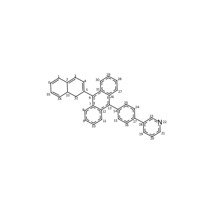 C1=CC2=CC=C(c3c4ccccc4c(-c4ccc(-c5cccnc5)cc4)c4ccccc34)CC2C=C1